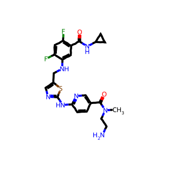 CN(CCN)C(=O)c1ccc(Nc2ncc(CNc3cc(C(=O)NC4CC4)c(F)cc3F)s2)nc1